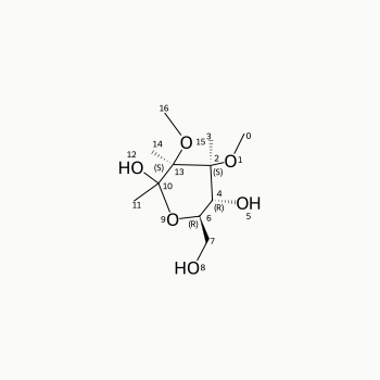 CO[C@@]1(C)[C@H](O)[C@@H](CO)OC(C)(O)[C@@]1(C)OC